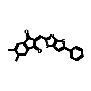 Cc1cc2c(cc1C)C(=O)C(=Cc1nc3sc(-c4ccccc4)cc3s1)C2=O